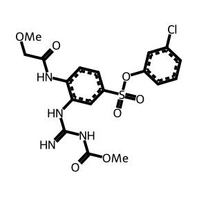 COCC(=O)Nc1ccc(S(=O)(=O)Oc2cccc(Cl)c2)cc1NC(=N)NC(=O)OC